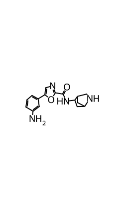 Nc1cccc(-c2cnc(C(=O)NC3CC4CC3CN4)o2)c1